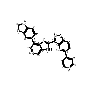 c1cc(-c2ccc3[nH]nc(-c4nc5c(-c6ccc7c(c6)OCO7)cncc5[nH]4)c3n2)ccn1